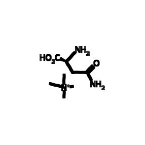 C[N+](C)(C)C.NC(=O)C[C@H](N)C(=O)O